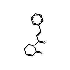 O=C1C=CCCN1C(=O)/C=C/c1ccccn1